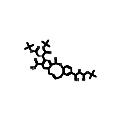 CC(C)(C)OC(=O)C[C@H](C(=O)OC(C)(C)C)c1cc2c(cc1C(N)=O)C/C=C/Cc1cc(C(=N)NC(=O)OC(C)(C)C)ccc1OC2=O